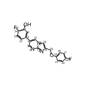 Oc1cc(-c2cnc3nc(COc4ccc(F)cc4)cn3c2)ccc1F